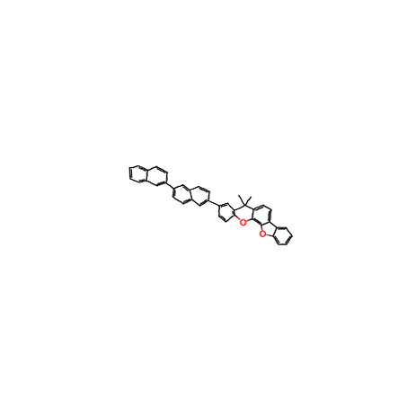 CC1(C)c2cc(-c3ccc4cc(-c5ccc6ccccc6c5)ccc4c3)ccc2Oc2c1ccc1c2oc2ccccc21